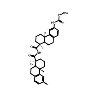 Cc1ccc2c(c1)[C@@]1(C)CCC[C@](C)(C(=O)NC(=O)[C@@]3(C)CCC[C@]4(C)c5cc(NC(=O)OC(C)(C)C)ccc5CCC34)[C@@H]1CC2